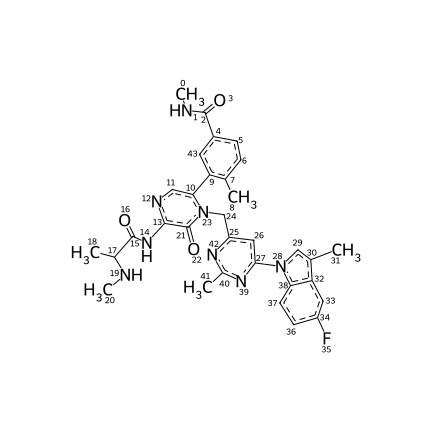 CNC(=O)c1ccc(C)c(-c2cnc(NC(=O)C(C)NC)c(=O)n2Cc2cc(-n3cc(C)c4cc(F)ccc43)nc(C)n2)c1